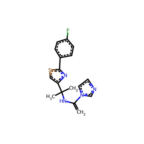 C=C(NC(C)(C)c1csc(-c2ccc(F)cc2)n1)n1ccnc1